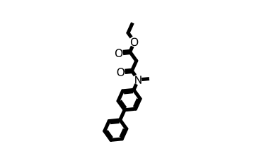 CCOC(=O)CC(=O)N(C)c1ccc(-c2ccccc2)cc1